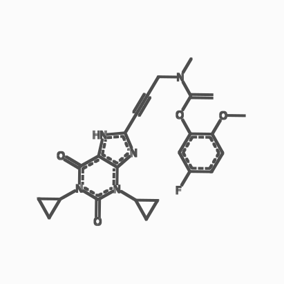 C=C(Oc1cc(F)ccc1OC)N(C)CC#Cc1nc2c([nH]1)c(=O)n(C1CC1)c(=O)n2C1CC1